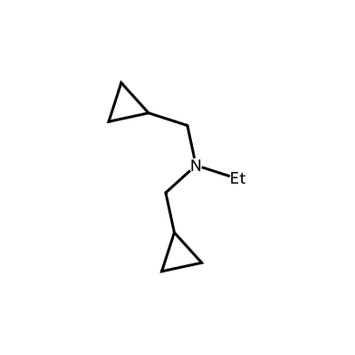 CCN(CC1CC1)CC1CC1